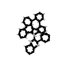 c1ccc(-c2nc3ccccc3nc2-n2c3cccc4c3c3c5c(cccc5c5ccccc5c32)-c2ccccc2-4)cc1